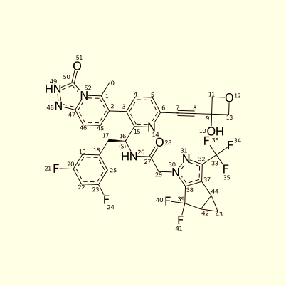 Cc1c(-c2ccc(C#CC3(O)COC3)nc2[C@H](Cc2cc(F)cc(F)c2)NC(=O)Cn2nc(C(F)(F)F)c3c2C(F)(F)C2CC32)ccc2n[nH]c(=O)n12